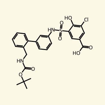 CC(C)(C)OC(=O)NCc1ccccc1-c1cccc(NS(=O)(=O)c2cc(C(=O)O)cc(Cl)c2O)c1